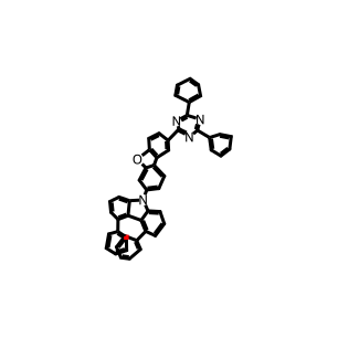 c1ccc(-c2nc(-c3ccccc3)nc(-c3ccc4oc5cc(-n6c7cccc(-c8ccccc8)c7c7c(-c8ccccc8)cccc76)ccc5c4c3)n2)cc1